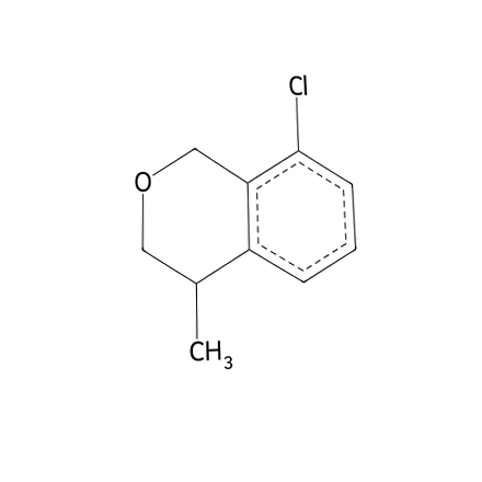 CC1COCc2c(Cl)cccc21